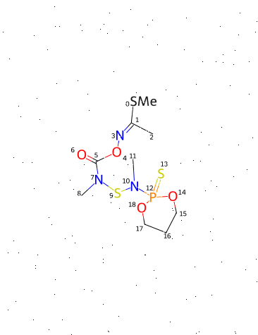 CSC(C)=NOC(=O)N(C)SN(C)P1(=S)OCCCO1